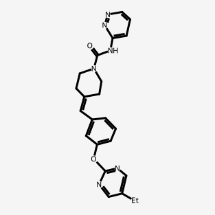 CCc1cnc(Oc2cccc(C=C3CCN(C(=O)Nc4cccnn4)CC3)c2)nc1